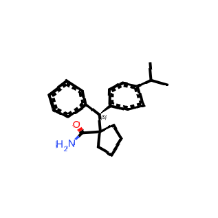 CC(C)c1ccc([C@H](c2ccccc2)C2(C(N)=O)CCCC2)cc1